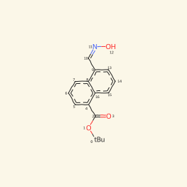 CC(C)(C)OC(=O)c1cccc2c(/C=N\O)cccc12